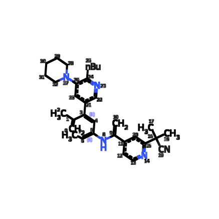 C=C(C)/C(=C\C(=C/C)NC(=C)c1ccnc(C(C)(C)C#N)c1)c1cnc(CCCC)c(N2CCCCC2)c1